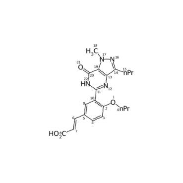 CCCOc1ccc(/C=C/C(=O)O)cc1-c1nc2c(CCC)nn(C)c2c(=O)[nH]1